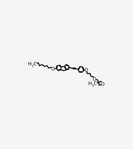 CCCCCCCCOc1ccc2c(c1)Cc1cc(C#Cc3ccc(OCCCCOCC4(C)COC4)cc3)ccc1-2